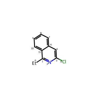 CCc1nc(Cl)cc2ccccc12